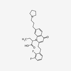 CCC(C(=O)O)n1c(CCc2cccc(F)c2F)cc(=O)c2ccc(CCCN3CCCC3)cc21